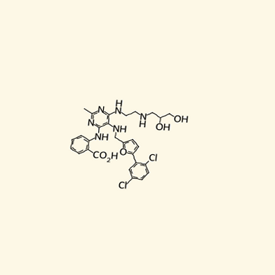 Cc1nc(NCCNCC(O)CO)c(NCc2ccc(-c3cc(Cl)ccc3Cl)o2)c(Nc2ccccc2C(=O)O)n1